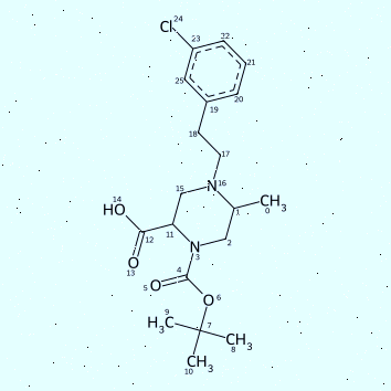 CC1CN(C(=O)OC(C)(C)C)C(C(=O)O)CN1CCc1cccc(Cl)c1